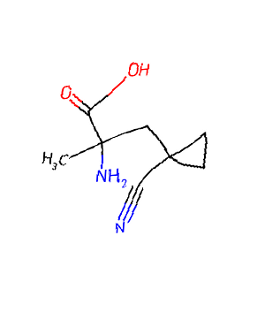 CC(N)(CC1(C#N)CC1)C(=O)O